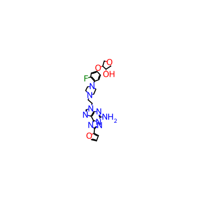 Nc1nc2c(ncn2CCN2CCN(c3ccc(O[C@H]4COC[C@@H]4O)cc3F)CC2)c2nc(-c3ccco3)nn12